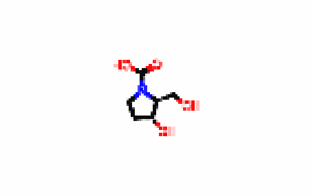 O=C(O)N1CC[C@H](O)[C@@H]1CO